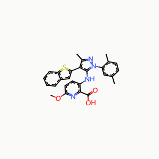 COc1ccc(Nc2c(-c3cc4ccccc4s3)c(C)nn2-c2cc(C)ccc2C)c(C(=O)O)n1